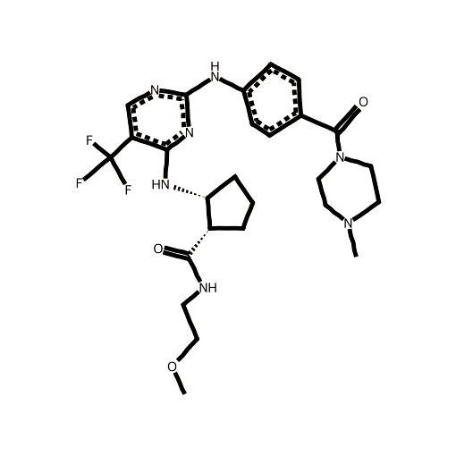 COCCNC(=O)[C@H]1CCC[C@H]1Nc1nc(Nc2ccc(C(=O)N3CCN(C)CC3)cc2)ncc1C(F)(F)F